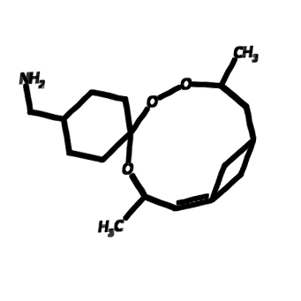 CC1C=C2CC(C2)CC(C)OOC2(CCC(CN)CC2)O1